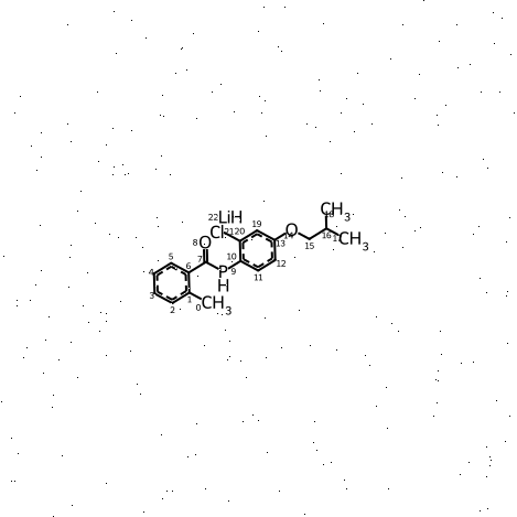 Cc1ccccc1C(=O)Pc1ccc(OCC(C)C)cc1Cl.[LiH]